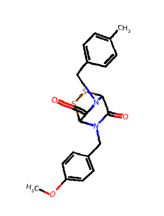 COc1ccc(CN2C(=O)C3SSC2C(=O)N3Cc2ccc(C)cc2)cc1